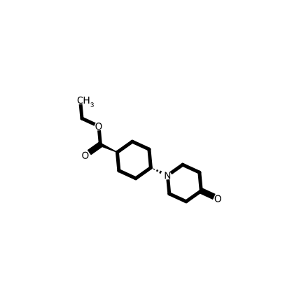 CCOC(=O)[C@H]1CC[C@H](N2CCC(=O)CC2)CC1